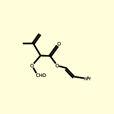 C=C(C)C(O[C]=O)C(=O)OC=CCCC